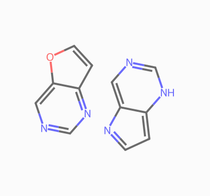 c1cc2[nH]cncc-2n1.c1ncc2occc2n1